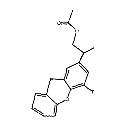 CC(=O)OCC(C)c1cc(F)c2c(c1)Cc1ccccc1O2